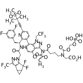 CC(C)(C#Cc1ccc(-c2ccc(Cl)c3c(N(C(=O)CCCN(CC(=O)O)C(=O)OCOP(=O)(O)O)S(C)(=O)=O)nn(CC(F)(F)F)c23)c([C@H](Cc2cc(F)cc(F)c2)NC(=O)Cn2nc(C(F)(F)F)c3c2C(F)(F)C2CC32)n1)S(C)(=O)=O